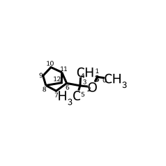 C[CH]OC(C)(C)C1CC2CCC1C2